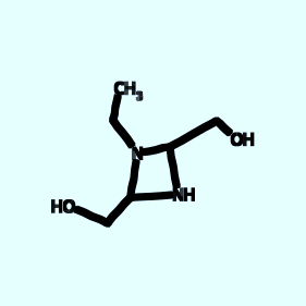 CCN1C(CO)NC1CO